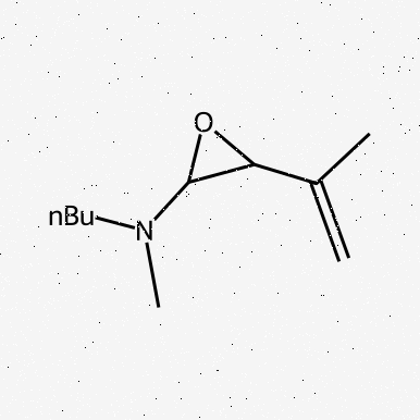 C=C(C)C1OC1N(C)CCCC